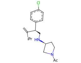 C=C(C(C)C)[C@H](CN[C@H]1CCN(C(C)=O)C1)c1ccc(Cl)cc1